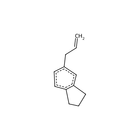 C=CCc1ccc2c(c1)CCC2